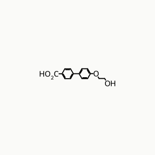 O=C(O)c1ccc(-c2ccc(OCCO)cc2)cc1